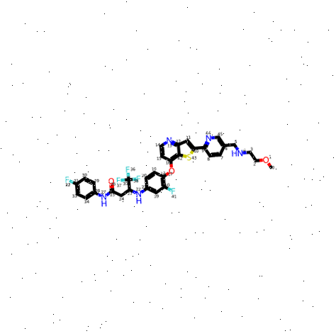 COCCNCc1ccc(-c2cc3nccc(Oc4ccc(NC(CC(=O)Nc5ccc(F)cc5)C(F)(F)F)cc4F)c3s2)nc1